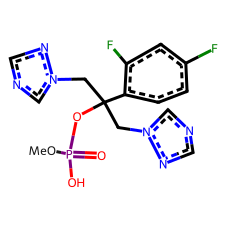 COP(=O)(O)OC(Cn1cncn1)(Cn1cncn1)c1ccc(F)cc1F